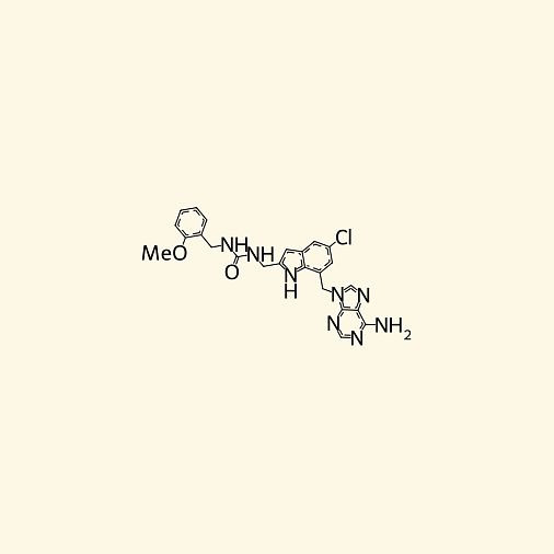 COc1ccccc1CNC(=O)NCc1cc2cc(Cl)cc(Cn3cnc4c(N)ncnc43)c2[nH]1